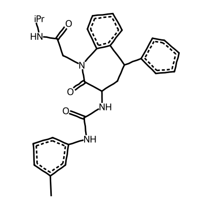 Cc1cccc(NC(=O)NC2CC(c3ccccc3)c3ccccc3N(CC(=O)NC(C)C)C2=O)c1